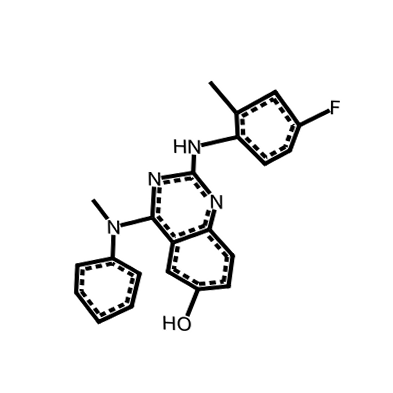 Cc1cc(F)ccc1Nc1nc(N(C)c2ccccc2)c2cc(O)ccc2n1